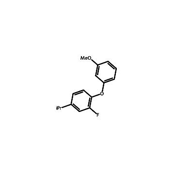 COc1cccc(Oc2ccc(C(C)C)cc2F)c1